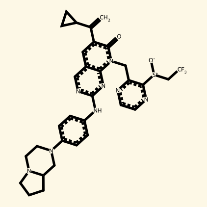 C=C(c1cc2cnc(Nc3ccc(N4CCN5CCCC5C4)cc3)nc2n(Cc2nccnc2[S+]([O-])CC(F)(F)F)c1=O)C1CC1